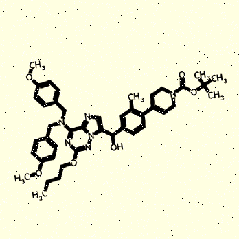 CCCCOc1nc(N(Cc2ccc(OC)cc2)Cc2ccc(OC)cc2)c2ncc(C(O)c3ccc(C4=CCN(C(=O)OC(C)(C)C)CC4)c(C)c3)n2n1